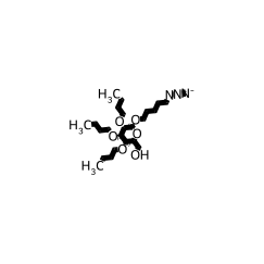 CCCCOC1[C@@H](OCCCCCN=[N+]=[N-])OC(CO)[C@H](OCCCC)[C@@H]1OCCCC